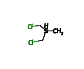 C[SiH](CCl)CCl